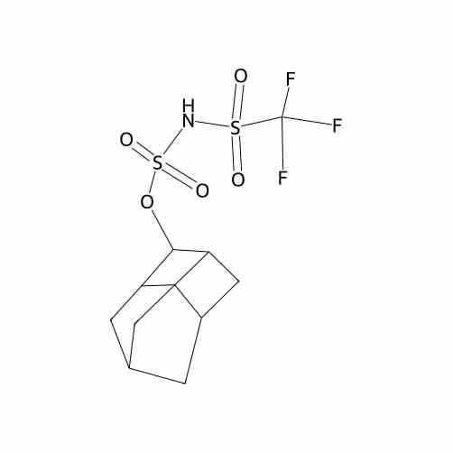 O=S(=O)(NS(=O)(=O)C(F)(F)F)OC1C2CC3CC(C2)CC1C3